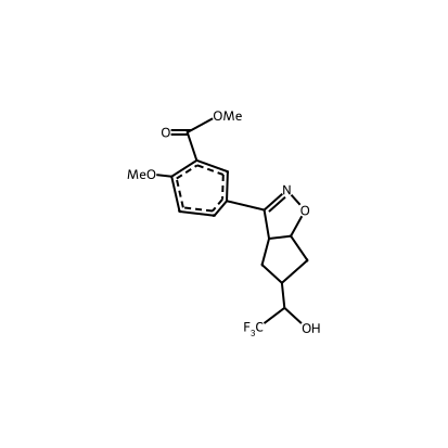 COC(=O)c1cc(C2=NOC3CC(C(O)C(F)(F)F)CC23)ccc1OC